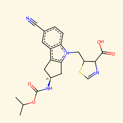 CC(C)OC(=O)N[C@H]1Cc2c(n(CC3SC=NC3C(=O)O)c3ccc(C#N)cc23)C1